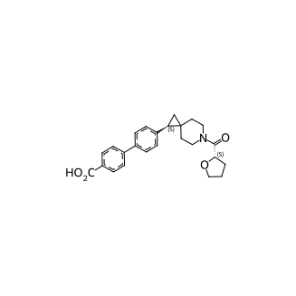 O=C(O)c1ccc(-c2ccc([C@H]3CC34CCN(C(=O)[C@@H]3CCCO3)CC4)cc2)cc1